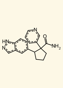 NC(=O)C1(c2cccnc2)CCCC1c1ccc2[nH]ncc2c1